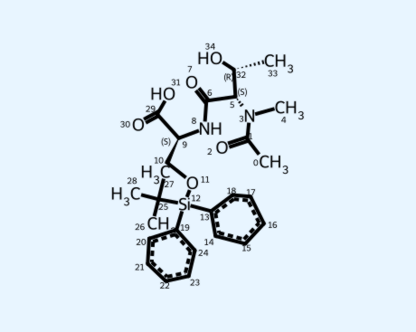 CC(=O)N(C)[C@H](C(=O)N[C@@H](CO[Si](c1ccccc1)(c1ccccc1)C(C)(C)C)C(=O)O)[C@@H](C)O